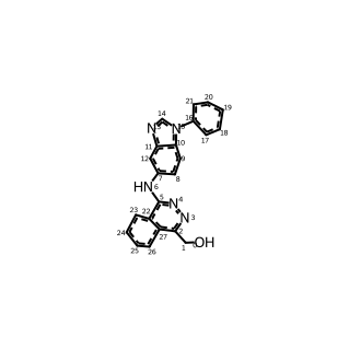 OCc1nnc(Nc2ccc3c(c2)ncn3-c2ccccc2)c2ccccc12